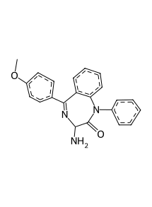 COc1ccc(C2=NC(N)C(=O)N(c3ccccc3)c3ccccc32)cc1